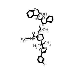 CC(C)(c1ncc(-c2cccc(F)c2)o1)N1CCN(C[C@@H](O)C[C@@H](Cc2ccccc2)C(=O)N[C@H]2c3ccccc3OC[C@H]2O)[C@H](C(=O)NCC(F)(F)F)C1